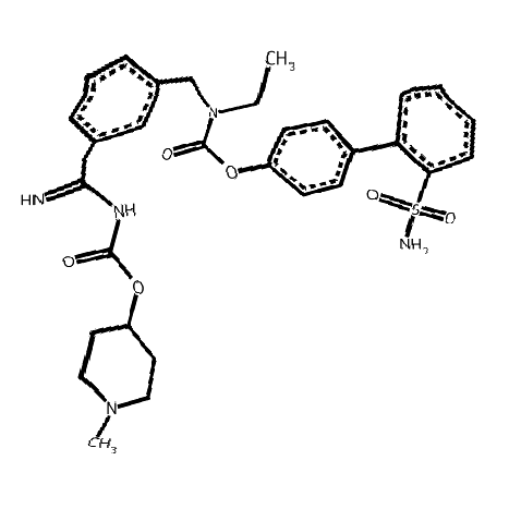 CCN(Cc1cccc(C(=N)NC(=O)OC2CCN(C)CC2)c1)C(=O)Oc1ccc(-c2ccccc2S(N)(=O)=O)cc1